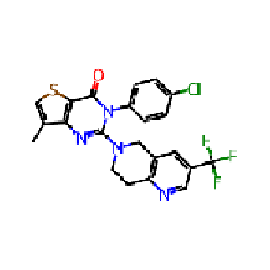 Cc1csc2c(=O)n(-c3ccc(Cl)cc3)c(N3CCc4ncc(C(F)(F)F)cc4C3)nc12